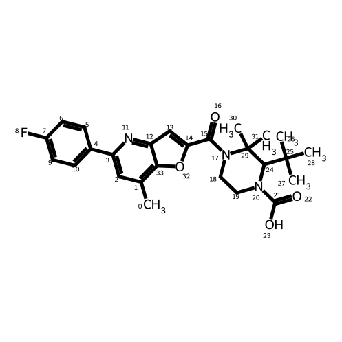 Cc1cc(-c2ccc(F)cc2)nc2cc(C(=O)N3CCN(C(=O)O)C(C(C)(C)C)C3(C)C)oc12